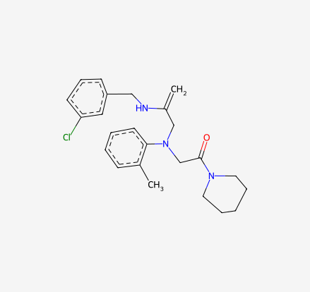 C=C(CN(CC(=O)N1CCCCC1)c1ccccc1C)NCc1cccc(Cl)c1